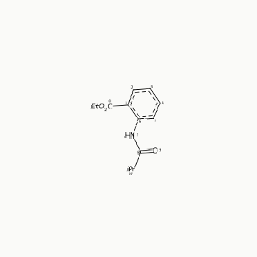 CCOC(=O)c1ccccc1NC(=O)C(C)C